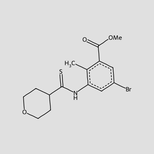 COC(=O)c1cc(Br)cc(NC(=S)C2CCOCC2)c1C